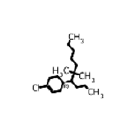 CCCCCC(C)(C)C(CCC)[C@H]1CC=C(Cl)CC1